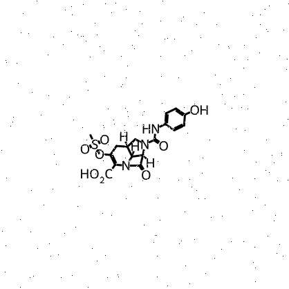 CS(=O)(=O)OC1=C(C(=O)O)N2C(=O)[C@@H]3[C@H]2[C@H](C1)CN3C(=O)Nc1ccc(O)cc1